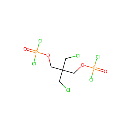 O=P(Cl)(Cl)OCC(CCl)(CCl)COP(=O)(Cl)Cl